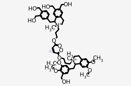 COc1cc2c(cc1OC)C(Cc1cc(CO)c(OC)c(OC)c1)[N+](C)(CCCOC(=O)/C=C\C(=O)OCCC[N+]1(C)CCc3cc(CO)c(CO)cc3C1Cc1ccc(CO)c(CO)c1)CC2